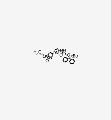 C=CCON1C(=O)N2CC(n3ccc(NC(=O)CCO[Si](c4ccccc4)(c4ccccc4)C(C)(C)C)n3)=CC1C2